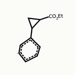 CCOC(=O)C1CC1c1c[c]ccc1